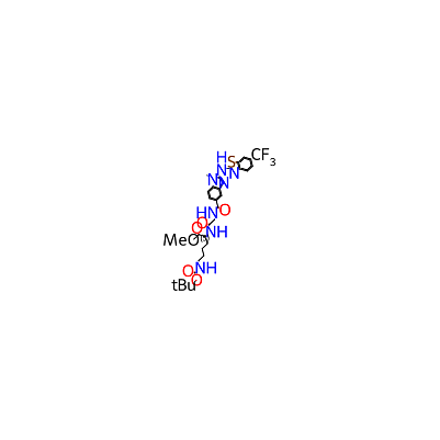 COC(=O)[C@H](CCCCNC(=O)OC(C)(C)C)NC(=O)CNC(=O)c1ccc2c(c1)nc(Nc1nc3ccc(C(F)(F)F)cc3s1)n2C